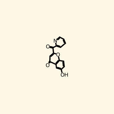 O=C(c1ccccn1)c1cc(=O)c2cc(O)ccc2o1